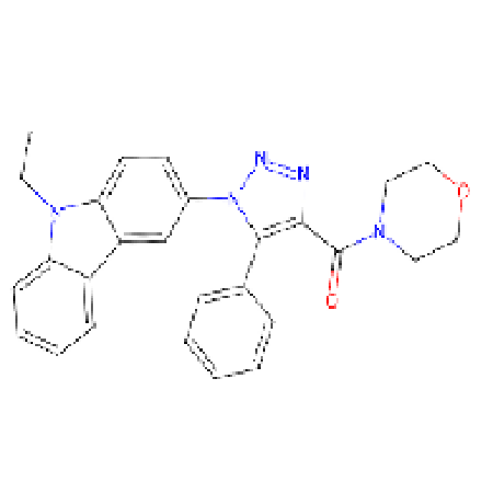 CCn1c2ccccc2c2cc(-n3nnc(C(=O)N4CCOCC4)c3-c3ccccc3)ccc21